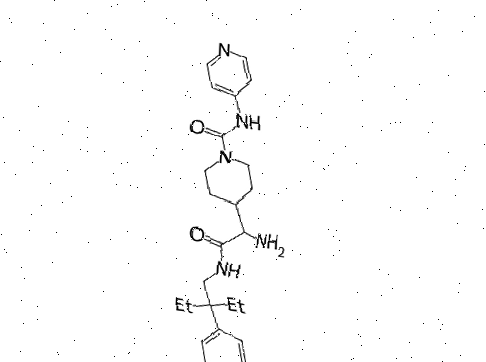 CCC(CC)(CNC(=O)C(N)C1CCN(C(=O)Nc2ccncc2)CC1)c1ccccc1